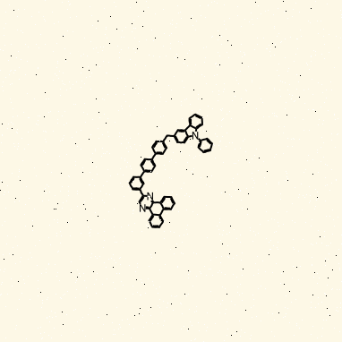 c1ccc(-n2c3ccccc3c3cc(Cc4ccc(-c5ccc(-c6cccc(-c7cnc8c9ccccc9c9ccccc9c8n7)c6)cc5)cc4)ccc32)cc1